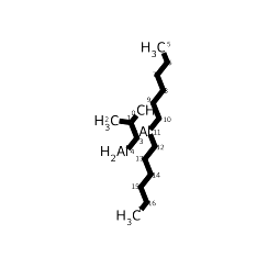 CC(C)[CH2][AlH2].CCCCC[CH2][Al][CH2]CCCCC